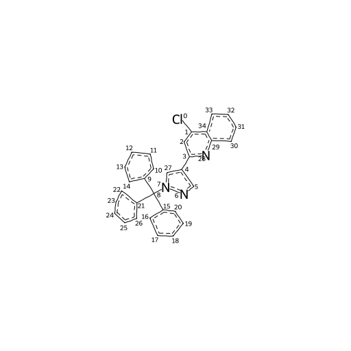 Clc1cc(-c2cnn(C(c3ccccc3)(c3ccccc3)c3ccccc3)c2)nc2ccccc12